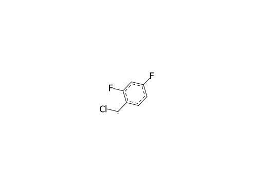 Fc1ccc([CH]Cl)c(F)c1